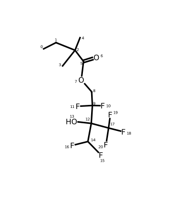 CCC(C)(C)C(=O)OCC(F)(F)C(O)(C(F)F)C(F)(F)F